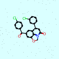 O=C(c1ccc(Cl)cc1)c1cc2c3c(c1)c(-c1cccc(Cl)c1)cc(=O)n3CO2